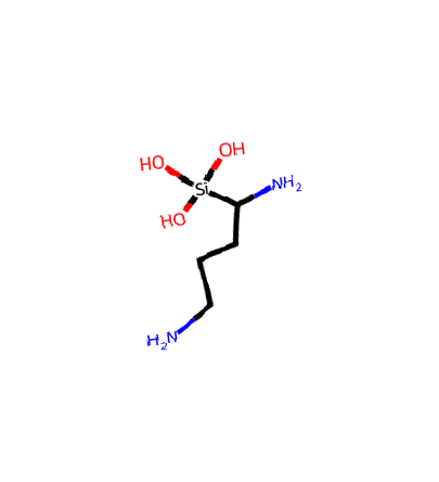 NCCCC(N)[Si](O)(O)O